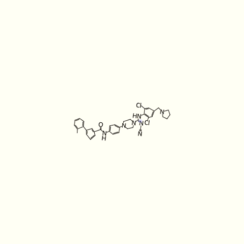 Cc1ccccc1-c1cccc(C(=O)Nc2ccc(N3CCN(/C(=N\C#N)Nc4c(Cl)cc(CN5CCCC5)cc4Cl)CC3)cc2)c1